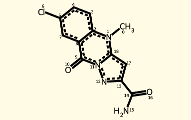 Cn1c2ccc(Cl)cc2c(=O)n2nc(C(N)=O)cc12